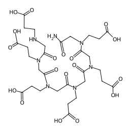 NC(=O)CN(CCC(=O)O)C(=O)CN(CCC(=O)O)C(=O)CN(CCC(=O)O)C(=O)CN(CCC(=O)O)C(=O)CN(CCC(=O)O)C(=O)CNCCC(=O)O